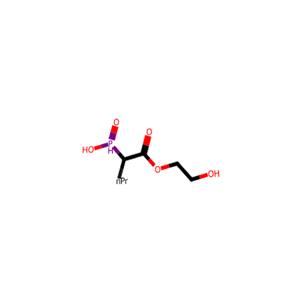 CCCC(C(=O)OCCO)[PH](=O)O